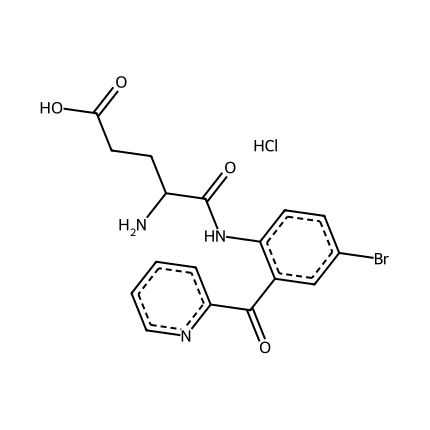 Cl.NC(CCC(=O)O)C(=O)Nc1ccc(Br)cc1C(=O)c1ccccn1